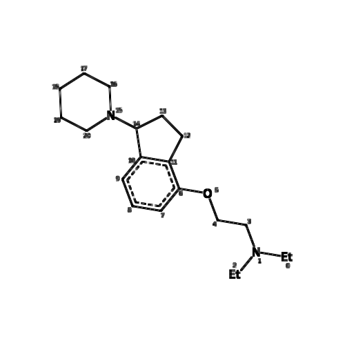 CCN(CC)CCOc1cccc2c1CCC2N1CCCCC1